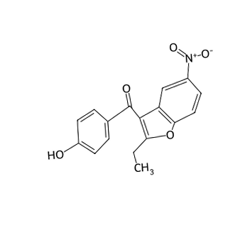 CCc1oc2ccc([N+](=O)[O-])cc2c1C(=O)c1ccc(O)cc1